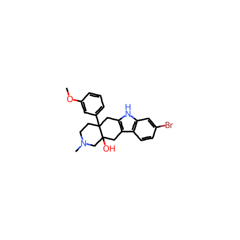 COc1cccc(C23CCN(C)CC2(O)Cc2c([nH]c4cc(Br)ccc24)C3)c1